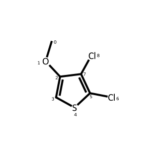 COc1csc(Cl)c1Cl